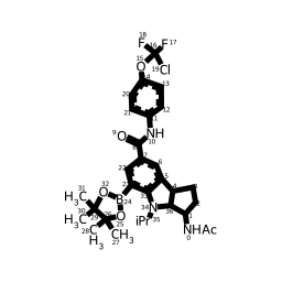 CC(=O)NC1CCC2c3cc(C(=O)Nc4ccc(OC(F)(F)Cl)cc4)cc(B4OC(C)(C)C(C)(C)O4)c3N(C(C)C)C12